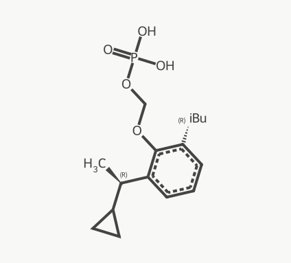 CC[C@@H](C)c1cccc([C@H](C)C2CC2)c1OCOP(=O)(O)O